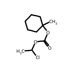 CC(Cl)OC(=O)OC1(C)CCCCC1